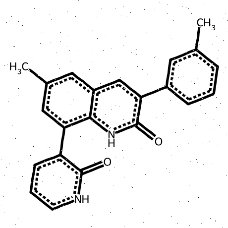 Cc1cccc(-c2cc3cc(C)cc(-c4ccc[nH]c4=O)c3[nH]c2=O)c1